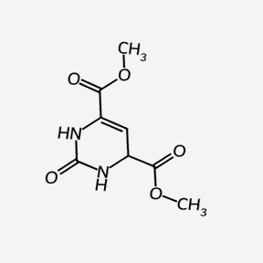 COC(=O)C1=CC(C(=O)OC)NC(=O)N1